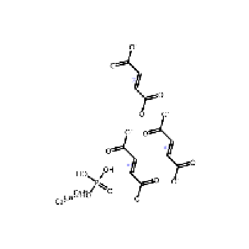 O=C([O-])/C=C/C(=O)[O-].O=C([O-])/C=C/C(=O)[O-].O=C([O-])/C=C/C(=O)[O-].O=P(O)(O)O.[Ca+2].[Ca+2].[Ca+2]